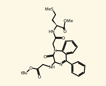 COC(=O)[C@H](CCSC)NC(=O)CN1C(=O)C(NCC(=O)OC(C)(C)C)N=C(c2ccccc2)c2ccccc21